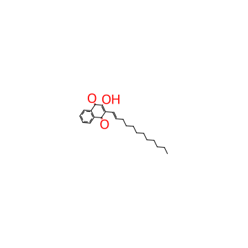 CCCCCCCCCCC=CC1=C(O)C(=O)c2ccccc2C1=O